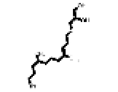 CC(=CCCOCC(O)CO)CCCC(C)CCCC(C)C